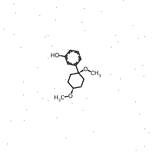 CO[C@H]1CC[C@](OC)(c2cccc(O)c2)CC1